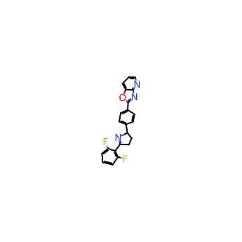 Fc1cccc(F)c1C1=NC(c2ccc(-c3nc4ncccc4o3)cc2)CC1